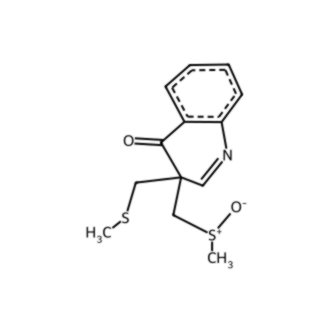 CSCC1(C[S+](C)[O-])C=Nc2ccccc2C1=O